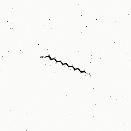 CC=CCCCCCCCCCC=COC(C)=O